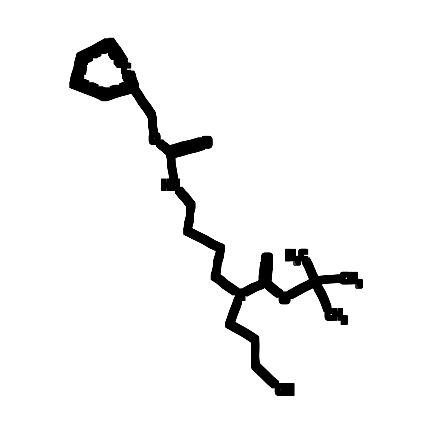 CC(C)(C)OC(=O)N(CCCO)CCCCNC(=O)OCc1ccccc1